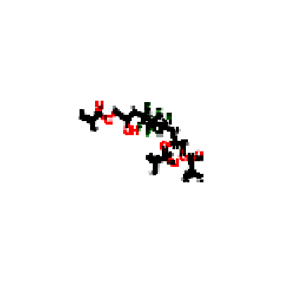 C=C(C)C(=O)OCC(O)CC(F)(F)C(F)(F)C(F)(F)CC(COC(=O)C(=C)C)OC(=O)C(=C)C